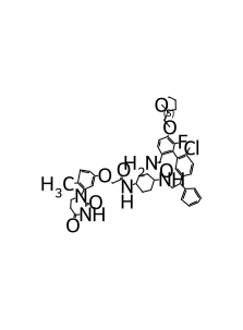 Cc1ccc(OCC(=O)NC2CCC(NCC(c3ccccc3)c3ccc(Cl)c(-c4c(C(N)=O)ccc(OC[C@@H]5CCCO5)c4F)c3)CC2)cc1N1CCC(=O)NC1=O